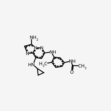 CC(=O)Nc1ccc(C)c(Nc2cc(NC3CC3)c3ncc(N)n3n2)c1